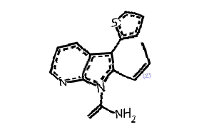 C=C(N)n1c(/C=C\C)c(-c2cccs2)c2cccnc21